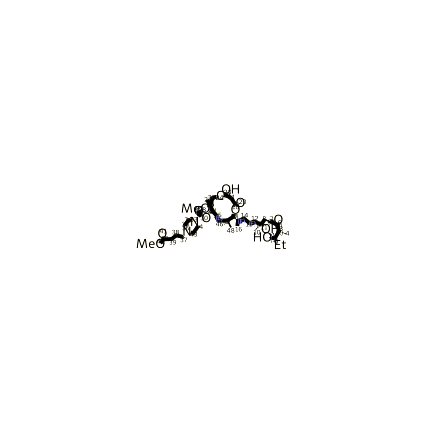 CC[C@H](O)[C@@H](C)[C@H]1O[C@@H]1C[C@@](C)(O)/C=C/C=C(\C)[C@H]1OC(=O)C[C@H](O)CC[C@@](C)(OC)[C@H](OC(=O)N2CCN(CCCC(=O)OC)CC2)/C=C/[C@@H]1C